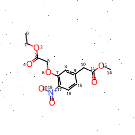 CCOC(=O)COc1cc(CC(=O)OC)ccc1[N+](=O)[O-]